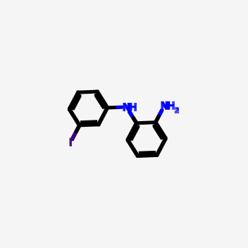 Nc1ccccc1Nc1cccc(I)c1